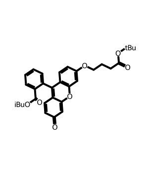 CC(C)COC(=O)c1ccccc1-c1c2ccc(=O)cc-2oc2cc(OCCCC(=O)OC(C)(C)C)ccc12